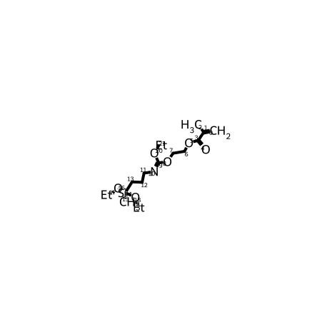 C=C(C)C(=O)OCCOC(=NCCC[Si](C)(OCC)OCC)OCC